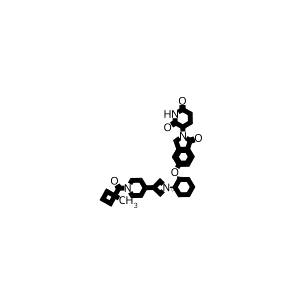 CC1(C(=O)N2CCC(C3CN([C@H]4CCCC[C@H]4Oc4ccc5c(c4)CN(C4CCC(=O)NC4=O)C5=O)C3)CC2)CCC1